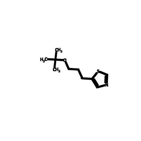 CC(C)(C)OCC[CH]c1cncs1